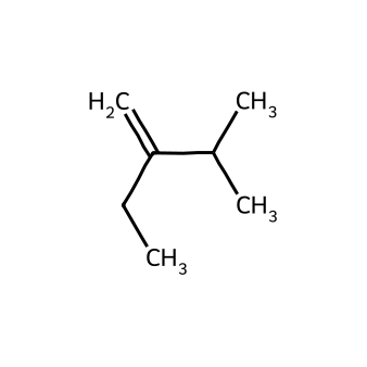 C=C(CC)C(C)C